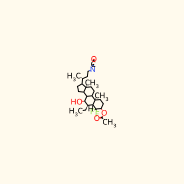 CC[C@@H]1[C@@H]2C(F)(F)[C@H](OC(C)=O)CC[C@]2(C)C2CC[C@@]3(C)C(CCC3[C@H](C)CCN=C=O)C2[C@@H]1O